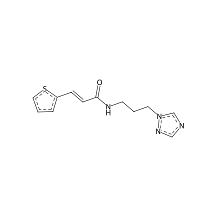 O=C(/C=C/c1cccs1)NCCCn1cncn1